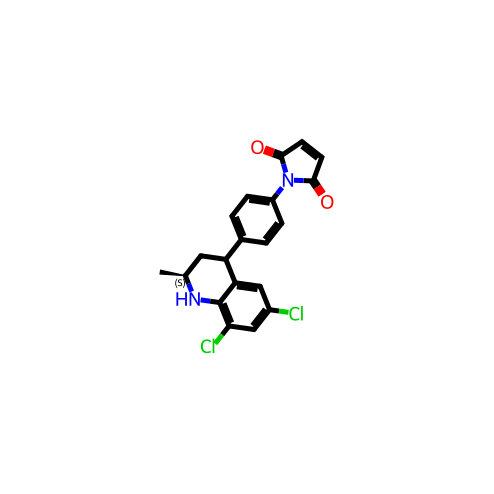 C[C@H]1CC(c2ccc(N3C(=O)C=CC3=O)cc2)c2cc(Cl)cc(Cl)c2N1